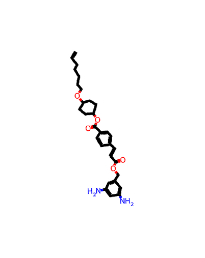 C=CCCCCCOC1CCC(OC(=O)c2ccc(/C=C/C(=O)OCc3cc(N)cc(N)c3)cc2)CC1